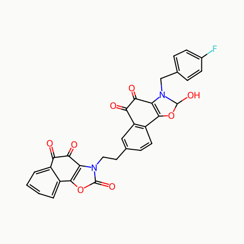 O=C1C(=O)c2cc(CCn3c4c(oc3=O)-c3ccccc3C(=O)C4=O)ccc2C2=C1N(Cc1ccc(F)cc1)C(O)O2